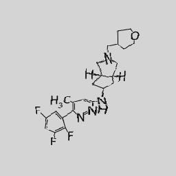 Cc1cc(N[C@H]2C[C@@H]3CN(CC4CCOCC4)C[C@@H]3C2)nnc1-c1cc(F)cc(F)c1F